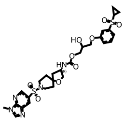 Cn1cnc2cc(S(=O)(=O)N3CCC4(CC3)C[C@@H](NC(=O)OCC(O)COc3cccc(S(=O)(=O)C5CC5)c3)CO4)cnc21